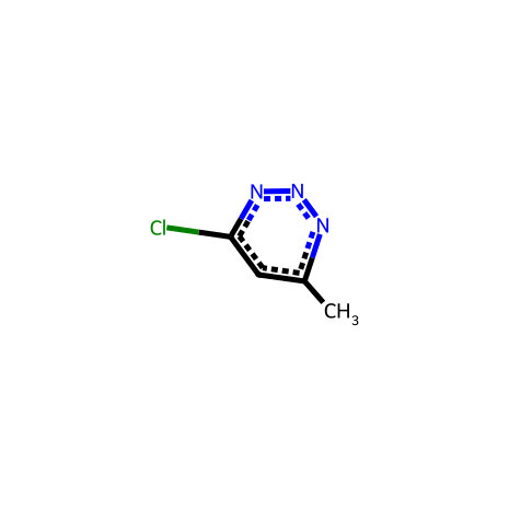 Cc1cc(Cl)nnn1